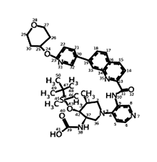 C[C@H]1CN(c2ccncc2NC(=O)c2ccc3ccc(-c4ccc(OC5CCOCC5)nc4)cc3n2)C[C@@H](NC(=O)O)[C@H]1O[Si](C)(C)C(C)(C)C